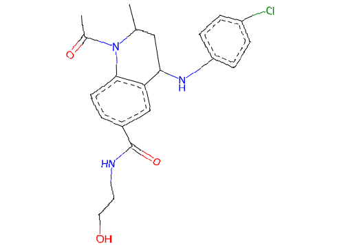 CC(=O)N1c2ccc(C(=O)NCCO)cc2C(Nc2ccc(Cl)cc2)CC1C